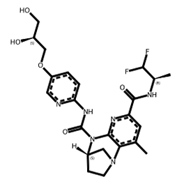 Cc1cc(C(=O)N[C@H](C)C(F)F)nc2c1N1CC[C@@H](C1)N2C(=O)Nc1ccc(OC[C@@H](O)CO)cn1